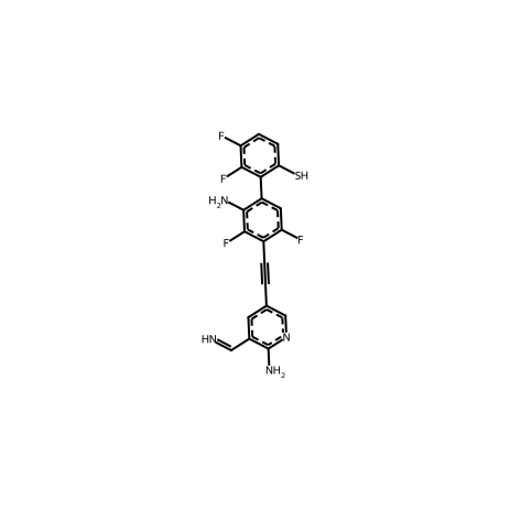 N=Cc1cc(C#Cc2c(F)cc(-c3c(S)ccc(F)c3F)c(N)c2F)cnc1N